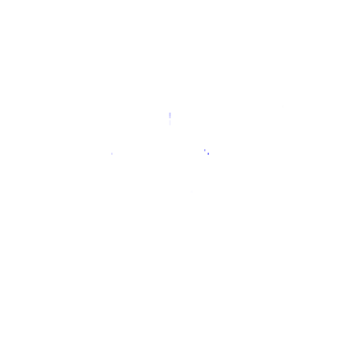 CCCSc1nc2c(c(=O)[nH]1)C(c1nc3ccccc3s1)CC(=O)N2